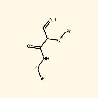 CC(C)ONC(=O)C(C=N)OC(C)C